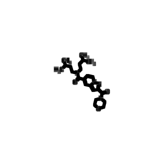 CC(C)CCN(CCC(C)C)C(=O)c1ccn2nc(C(=O)N3CCOCC3)cc2c1